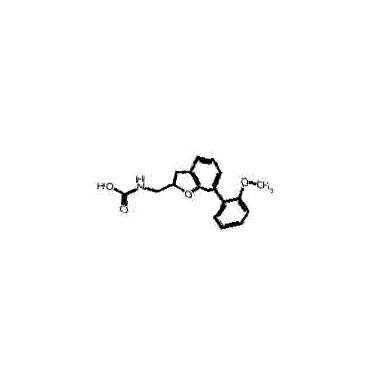 COc1ccccc1-c1cccc2c1OC(CNC(=O)O)C2